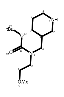 COCCN(CC1CCCNC1)C(=O)OC(C)(C)C